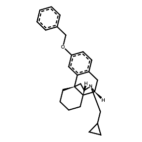 c1ccc(COc2ccc3c(c2)[C@@]24CCCC[C@H]2[C@@H](C3)N(CC2CC2)CC4)cc1